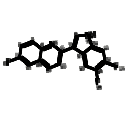 Fc1ccc2nc(-c3c[nH]c4cc(F)c(F)cc34)ccc2c1